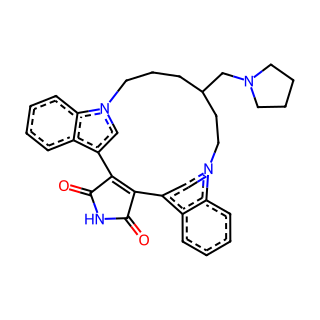 O=C1NC(=O)C2=C1c1cn(c3ccccc13)CCCC(CN1CCCC1)CCn1cc2c2ccccc21